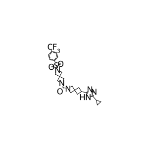 O=C(N1CC2(CC(c3nnc(C4CC4)[nH]3)C2)C1)N1CC2(C1)CN(S(=O)(=O)c1ccc(C(F)(F)F)cc1)C2